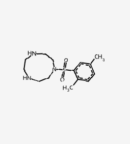 Cc1ccc(C)c(S(=O)(=O)N2CCNCCNCC2)c1